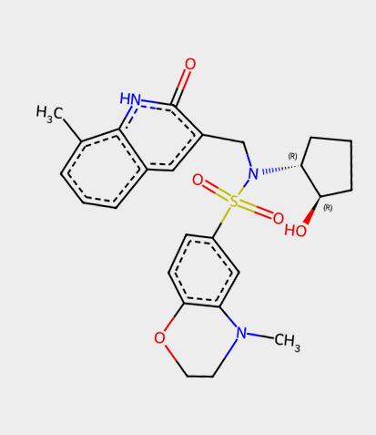 Cc1cccc2cc(CN([C@@H]3CCC[C@H]3O)S(=O)(=O)c3ccc4c(c3)N(C)CCO4)c(=O)[nH]c12